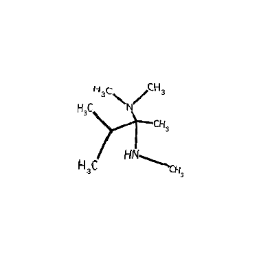 CNC(C)(C(C)C)N(C)C